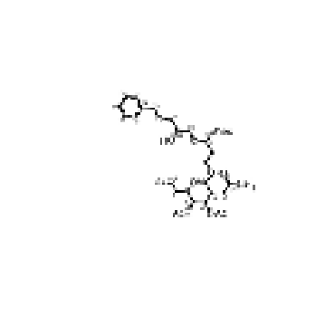 CCCCCCCCCCC(CCO[C@@H]1O[C@H](COC(C)=O)[C@H](OC(C)=O)[C@H](OC(C)=O)[C@H]1CC(N)=O)OCC(O)COCc1ccccc1